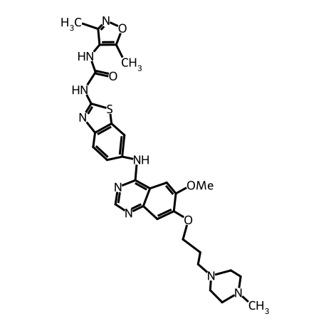 COc1cc2c(Nc3ccc4nc(NC(=O)Nc5c(C)noc5C)sc4c3)ncnc2cc1OCCCN1CCN(C)CC1